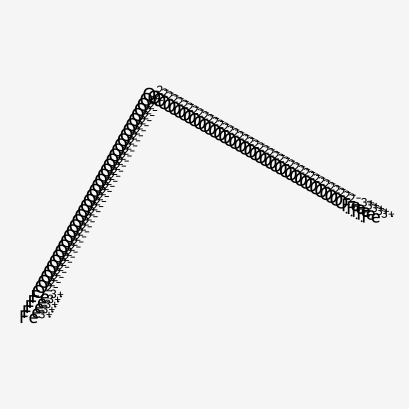 [Fe+3].[Fe+3].[Fe+3].[Fe+3].[Fe+3].[Fe+3].[Fe+3].[Fe+3].[Fe+3].[Fe+3].[O-2].[O-2].[O-2].[O-2].[O-2].[O-2].[O-2].[O-2].[O-2].[O-2].[O-2].[O-2].[O-2].[O-2].[O-2].[O-2].[O-2].[O-2].[O-2].[O-2].[O-2].[O-2].[O-2].[O-2].[O-2].[O-2].[O-2].[O-2].[O-2].[O-2].[O-2].[O-2].[O-2].[O-2].[O-2].[O-2].[O-2].[O-2].[O-2].[O-2].[O-2].[O-2].[O-2].[O-2].[O-2].[O-2].[O-2].[O-2].[O-2].[O-2].[O-2].[O-2].[O-2].[O-2].[O-2].[O-2].[O-2].[O-2].[O-2].[O-2].[O-2].[O-2].[O-2].[O-2].[O-2].[O-2].[O-2].[O-2].[O-2].[O-2].[O-2].[O-2].[O-2].[O-2].[O-2].[O-2].[O-2].[O-2]